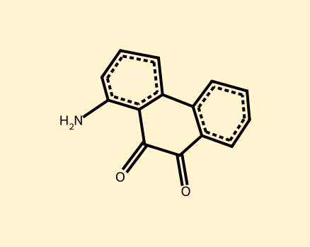 Nc1cccc2c1C(=O)C(=O)c1ccccc1-2